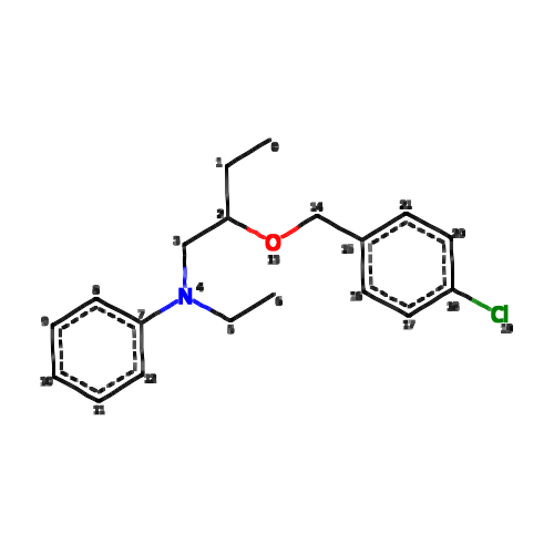 CCC(CN(CC)c1ccccc1)OCc1ccc(Cl)cc1